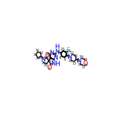 O=C1Nc2nc(Nc3ccc(N4CCC(N5CCOCC5)CC4)c(F)c3)ncc2C12CCN(C1CCCC1)C2=O